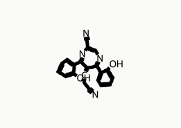 N#CC=C=C1C(c2ccccc2O)=NC=C(C#N)N=C1c1ccccc1O